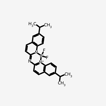 CC(C)c1ccc2c(c1)C=CC1=Nc3ccc4cc(C(C)C)ccc4[n+]3[B-](F)(F)N12